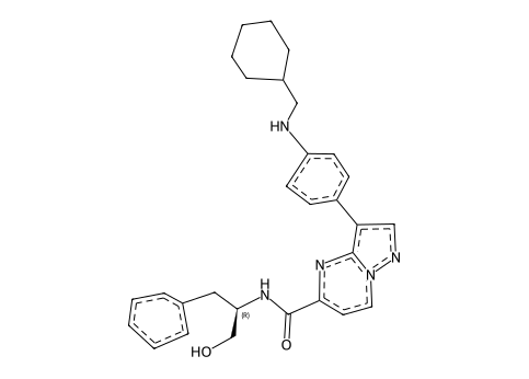 O=C(N[C@@H](CO)Cc1ccccc1)c1ccn2ncc(-c3ccc(NCC4CCCCC4)cc3)c2n1